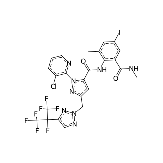 CNC(=O)c1cc(I)cc(C)c1NC(=O)c1cc(Cn2ncc(C(F)(C(F)(F)F)C(F)(F)F)n2)nn1-c1ncccc1Cl